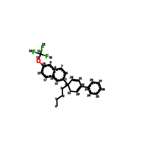 CCCCC1(c2ccc3cc(OC(F)(F)F)ccc3c2)C=CC(c2ccccc2)=CC1